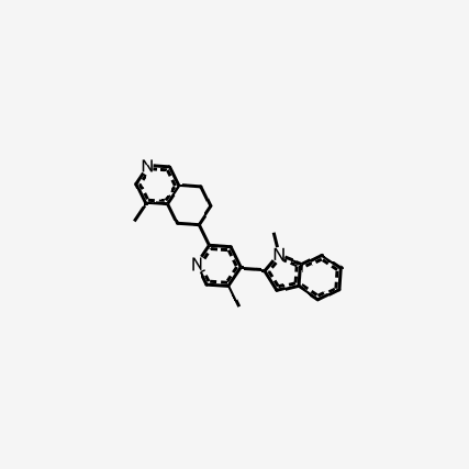 Cc1cnc(C2CCc3cncc(C)c3C2)cc1-c1cc2ccccc2n1C